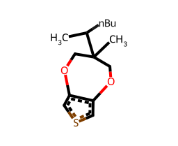 CCCCC(C)C1(C)COc2cscc2OC1